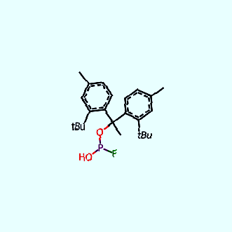 Cc1ccc(C(C)(OP(O)F)c2ccc(C)cc2C(C)(C)C)c(C(C)(C)C)c1